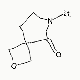 CCN1CCC2(COC2)C1=O